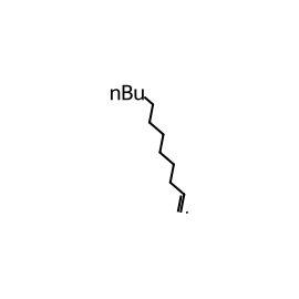 [CH]=CCCCCCCCCCC